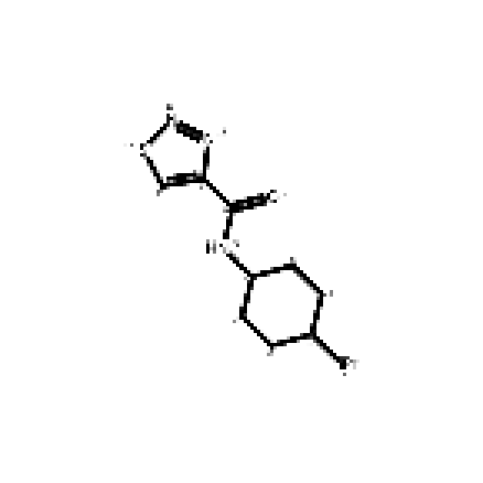 CC(C)C1CCC(NC(=O)c2csnn2)CC1